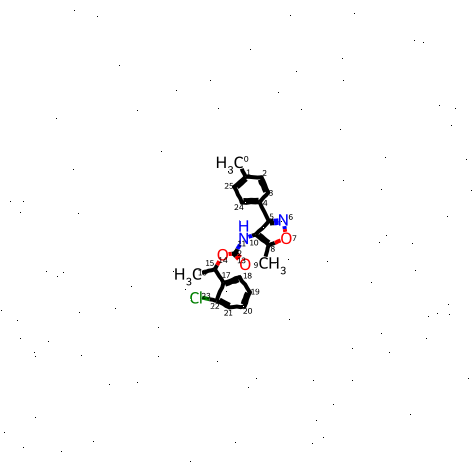 Cc1ccc(-c2noc(C)c2NC(=O)OC(C)c2ccccc2Cl)cc1